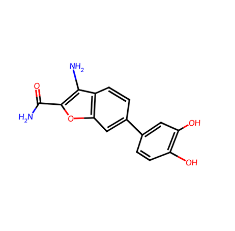 NC(=O)c1oc2cc(-c3ccc(O)c(O)c3)ccc2c1N